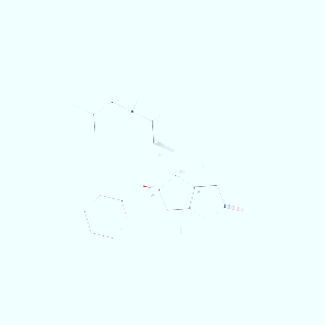 CC(C)CC(F)(F)C(O)/C=C/[C@@H]1[C@H]2CC(=O)O[C@H]2C[C@H]1OC1CCCCO1